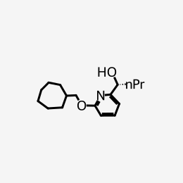 CCC[C@@H](O)c1cccc(OCC2CCCCCC2)n1